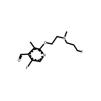 Cc1c(OCCN(C)CCCF)ncc(F)c1C=O